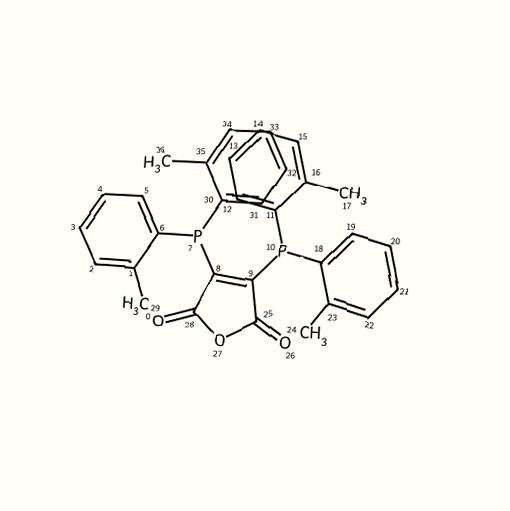 Cc1ccccc1P(C1=C(P(c2ccccc2C)c2ccccc2C)C(=O)OC1=O)c1ccccc1C